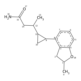 CC1Cc2c(cccc2C2CC2C(C)CC(N)=O)O1